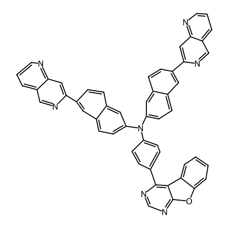 c1cnc2cc(-c3ccc4cc(N(c5ccc(-c6ncnc7oc8ccccc8c67)cc5)c5ccc6cc(-c7cc8ncccc8cn7)ccc6c5)ccc4c3)ncc2c1